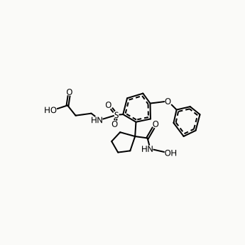 O=C(O)CCNS(=O)(=O)c1ccc(Oc2ccccc2)cc1C1(C(=O)NO)CCCC1